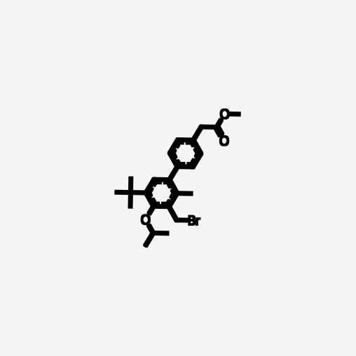 COC(=O)Cc1ccc(-c2cc(C(C)(C)C)c(OC(C)C)c(CBr)c2C)cc1